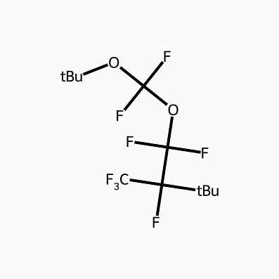 CC(C)(C)OC(F)(F)OC(F)(F)C(F)(C(C)(C)C)C(F)(F)F